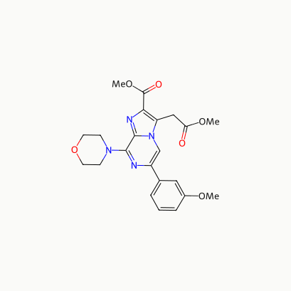 COC(=O)Cc1c(C(=O)OC)nc2c(N3CCOCC3)nc(-c3cccc(OC)c3)cn12